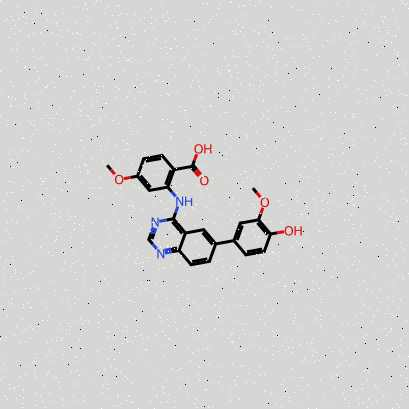 COc1ccc(C(=O)O)c(Nc2ncnc3ccc(-c4ccc(O)c(OC)c4)cc23)c1